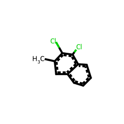 Cc1cc2ccccc2c(Cl)c1Cl